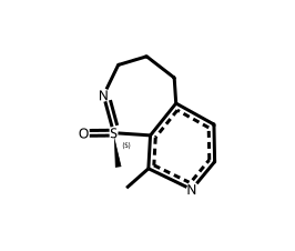 Cc1nccc2c1[S@](C)(=O)=NCCC2